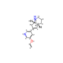 C=COc1cncc(C2=C[C@H]3CCCN[C@H]3C2)c1